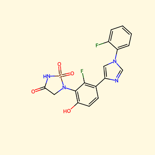 O=C1CN(c2c(O)ccc(-c3cn(-c4ccccc4F)cn3)c2F)S(=O)(=O)N1